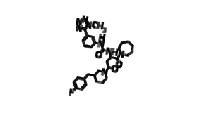 Cn1nnnc1-c1cccc(NC(=O)NC(CC(=O)N2CCCC(Cc3ccc(F)cc3)C2)C(=O)N2CCCCCC2)c1